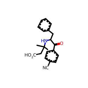 CC(C)(CC(=O)O)NC(Cc1ccccc1)C(=O)c1ccc(C#N)cc1